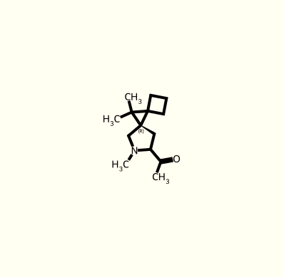 CC(=O)C1C[C@@]2(CN1C)C(C)(C)C21CCC1